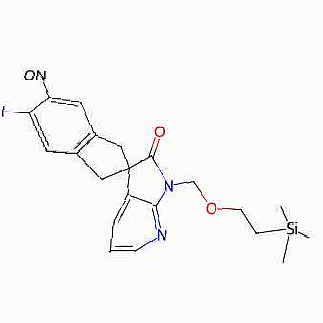 C[Si](C)(C)CCOCN1C(=O)C2(Cc3cc(I)c(N=O)cc3C2)c2cccnc21